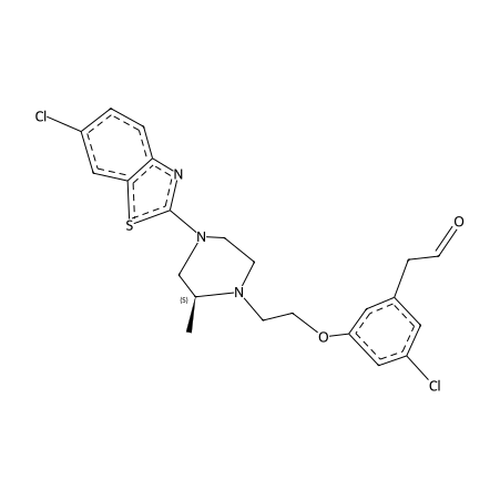 C[C@H]1CN(c2nc3ccc(Cl)cc3s2)CCN1CCOc1cc(Cl)cc(CC=O)c1